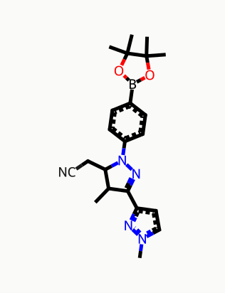 CC1C(c2ccn(C)n2)=NN(c2ccc(B3OC(C)(C)C(C)(C)O3)cc2)C1CC#N